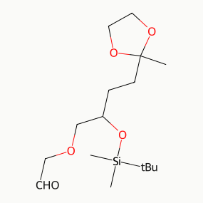 CC1(CCC(COCC=O)O[Si](C)(C)C(C)(C)C)OCCO1